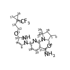 CC1CN(c2nc(N3C=CC(OCCC4(C(F)(F)F)CC4)N3)ccc2C(N)=O)C(C)(C)C1